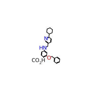 O=C(O)c1ccc(NCc2ccc(C3CCCCC3)nc2)cc1OCc1ccccc1